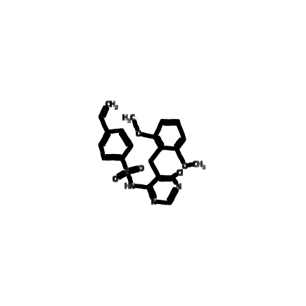 C=Cc1ccc(S(=O)(=O)Nc2ncnc(Cl)c2Cc2c(OC)cccc2OC)cc1